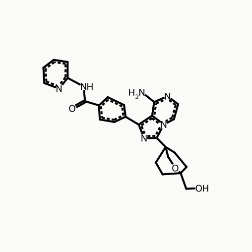 Nc1nccn2c(C34CCC(CO)(CC3)OC4)nc(-c3ccc(C(=O)Nc4ccccn4)cc3)c12